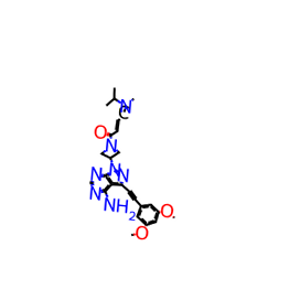 COc1cc(C#Cc2nn(C3CN(C(=O)C=CCN(C)C(C)C)C3)c3ncnc(N)c23)cc(OC)c1